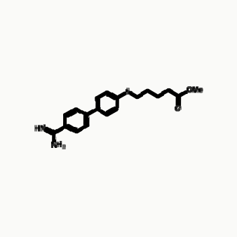 COC(=O)CCCCSc1ccc(-c2ccc(C(=N)N)cc2)cc1